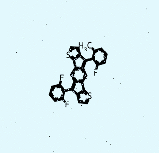 Cc1cccc(F)c1C1=c2cc3c(cc2-c2sccc21)=C(c1c(F)cccc1F)c1ccsc1-3